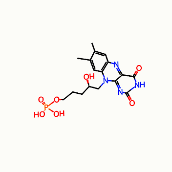 Cc1cc2nc3c(=O)[nH]c(=O)nc-3n(C[C@H](O)CCCOP(=O)(O)O)c2cc1C